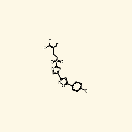 O=S(=O)(CCC(F)=C(F)F)c1ncc(-c2cc(-c3ccc(Cl)cc3)on2)s1